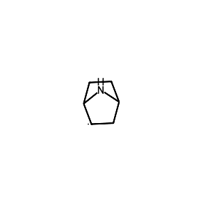 [CH]1CC2CCC1N2